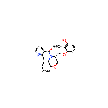 COCCc1ncccc1C(=O)N1CCOC[C@H]1COc1cccc(O)c1C=O